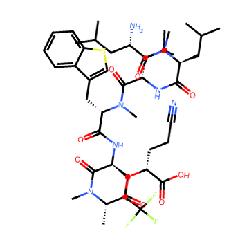 CC(C)C[C@H](NC(=O)[C@H](CC(C)C)N(C)C(=O)[C@@H](N)CC(C)C)C(=O)N(C)[C@@H](Cc1csc2ccccc12)C(=O)N[C@@H](CCC(F)(F)F)C(=O)N(C)[C@@H](C)C(=O)O[C@H](CCC#N)C(=O)O